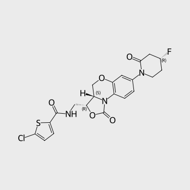 O=C(NC[C@H]1OC(=O)N2c3ccc(N4CC[C@@H](F)CC4=O)cc3OC[C@@H]12)c1ccc(Cl)s1